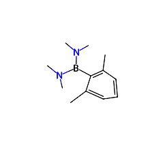 Cc1cccc(C)c1B(N(C)C)N(C)C